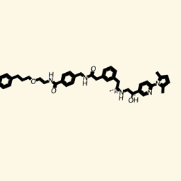 Cc1ccc(C)n1-c1ccc([C@@H](O)CN[C@H](C)Cc2cccc(CC(=O)NCc3ccc(C(=O)NCCOCCCc4ccccc4)cc3)c2)cn1